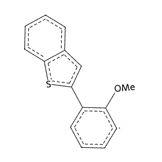 COc1[c]cccc1-c1cc2ccccc2s1